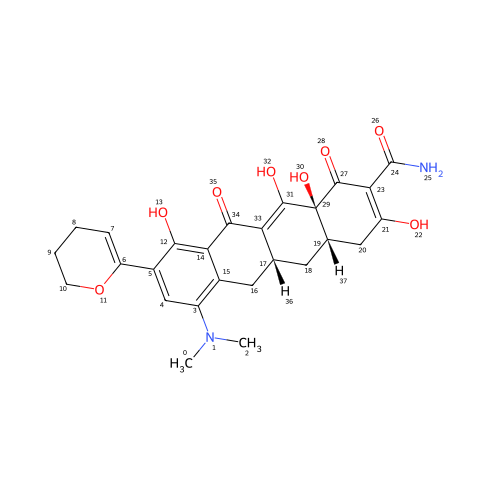 CN(C)c1cc(C2=CCCCO2)c(O)c2c1C[C@H]1C[C@H]3CC(O)=C(C(N)=O)C(=O)[C@@]3(O)C(O)=C1C2=O